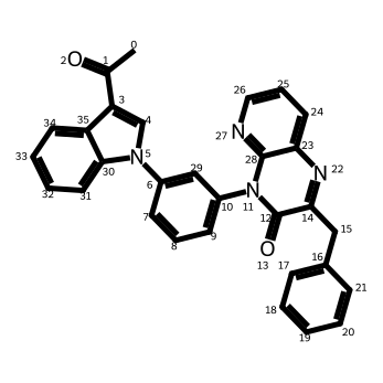 CC(=O)c1cn(-c2cccc(-n3c(=O)c(Cc4ccccc4)nc4cccnc43)c2)c2ccccc12